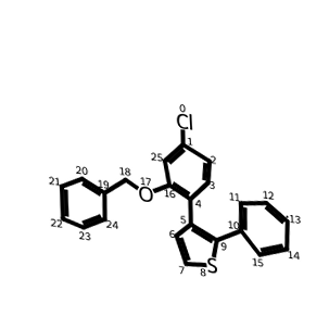 Clc1ccc(-c2ccsc2-c2cc[c]cc2)c(OCc2ccccc2)c1